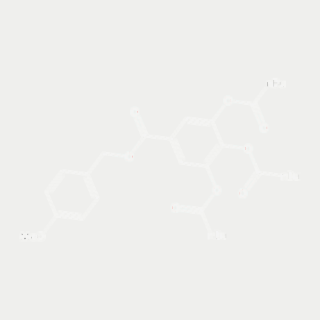 CCCCC(=O)Oc1cc(C(=O)OCc2ccc(OC)cc2)cc(OC(=O)CCCC)c1OC(=O)CCCC